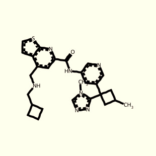 CC1CC(c2cncc(NC(=O)c3cc(CNCC4CCC4)c4ccsc4n3)c2)(c2nncn2C)C1